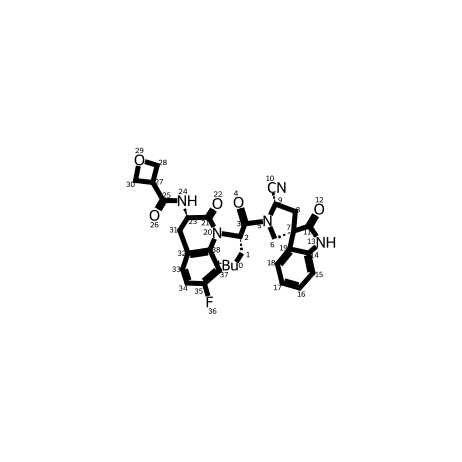 CC(C)(C)C[C@@H](C(=O)N1C[C@]2(C[C@H]1C#N)C(=O)Nc1ccccc12)N1C(=O)[C@@H](NC(=O)C2COC2)Cc2ccc(F)cc21